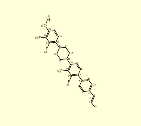 C/C=C/c1ccc(-c2ccc(C3CCC(c4ccc(OCC)c(F)c4F)CC3)c(F)c2F)cc1